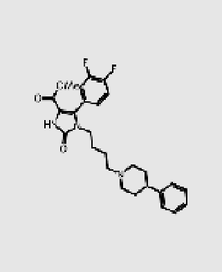 COC(=O)c1[nH]c(=O)n(CCCCN2CCC(c3ccccc3)CC2)c1-c1ccc(F)c(F)c1